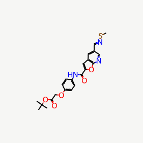 CSN=Cc1cnc2oc(C(=O)Nc3ccc(OCC(=O)OC(C)(C)C)cc3)cc2c1